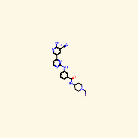 N#Cc1cc(-c2ccnc(Nc3cccc(C(=O)NC4CCN(CI)CC4)c3)n2)cnc1N